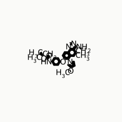 COc1ccn(-c2c(O[C@H]3CC[C@H](NC(=O)OC(C)(C)C)CC3)ccc3c2CC(C)(C)c2c(N)ncnc2-3)c1